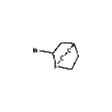 BrC1CC2CCN1CC2